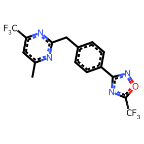 Cc1cc(C(F)(F)F)nc(Cc2ccc(-c3noc(C(F)(F)F)n3)cc2)n1